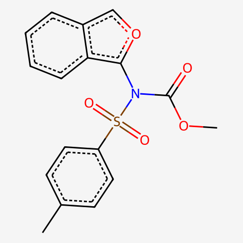 COC(=O)N(c1occ2ccccc12)S(=O)(=O)c1ccc(C)cc1